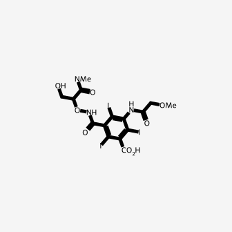 CNC(=O)C(CO)ONC(=O)c1c(I)c(NC(=O)COC)c(I)c(C(=O)O)c1I